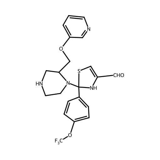 O=CC1=CSC(c2ccc(OC(F)(F)F)cc2)(N2CCNCC2COc2cccnc2)N1